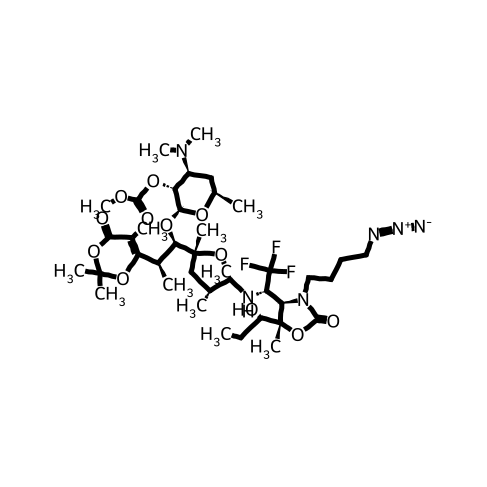 CC[C@@H](O)[C@@]1(C)OC(=O)N(CCCCN=[N+]=[N-])[C@@H]1[C@H](NC[C@H](C)C[C@@](C)(OC)[C@H](O[C@@H]1O[C@H](C)C[C@H](N(C)C)[C@H]1OC(=O)OC)[C@@H](C)C1=C(C)C(=O)OC(C)(C)O1)C(F)(F)F